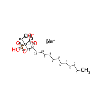 CCCCCCCCCCCCCCC(CC)(C(=O)[O-])S(=O)(=O)O.[Na+]